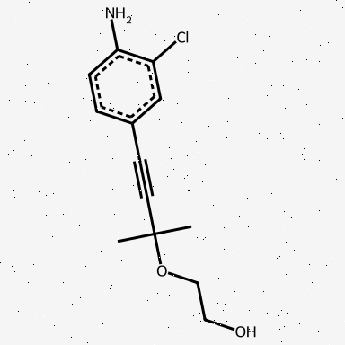 CC(C)(C#Cc1ccc(N)c(Cl)c1)OCCO